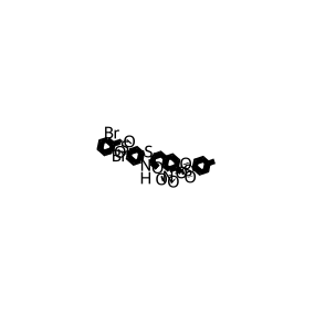 Cc1ccc(S(=O)(=O)Oc2ccc(/C=C3/Sc4cc(S(=O)(=O)Cc5c(Br)cccc5Br)ccc4NC3=O)cc2[N+](=O)[O-])cc1